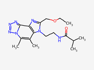 CCOCc1nc2c(c(C)c(C)n3nnnc23)n1CCNC(=O)C(C)C